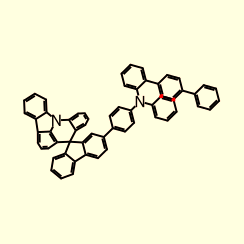 c1ccc(-c2ccc(-c3ccccc3N(c3ccccc3)c3ccc(-c4ccc5c(c4)C4(c6ccccc6-5)c5ccccc5-n5c6ccccc6c6cccc4c65)cc3)cc2)cc1